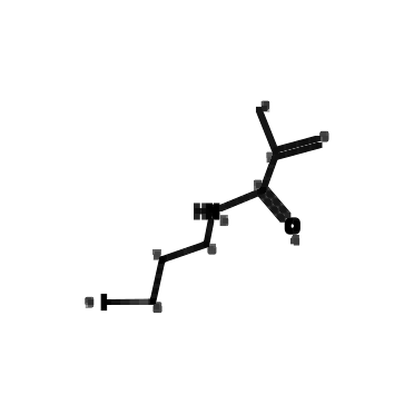 C=C(C)C(=O)NCCCI